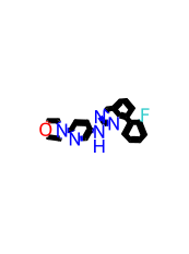 Fc1ccccc1-c1cccc2cnc(Nc3ccc(N4CCOCC4)nc3)nc12